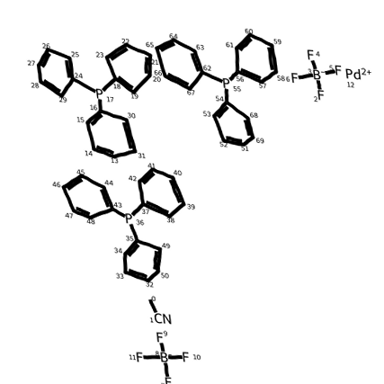 CC#N.F[B-](F)(F)F.F[B-](F)(F)F.[Pd+2].c1ccc(P(c2ccccc2)c2ccccc2)cc1.c1ccc(P(c2ccccc2)c2ccccc2)cc1.c1ccc(P(c2ccccc2)c2ccccc2)cc1